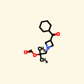 CC(C)(CN1CC(C(=O)C2CCCCC2)C1)O[C]=O